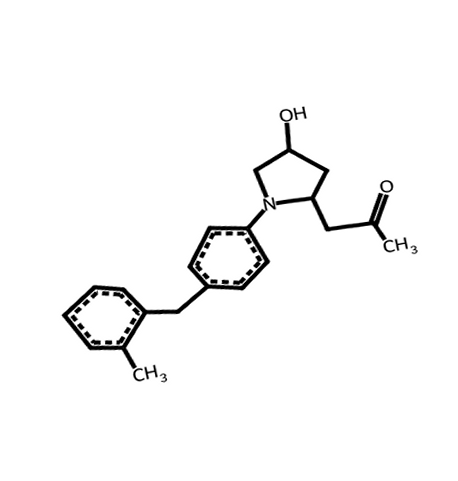 CC(=O)CC1CC(O)CN1c1ccc(Cc2ccccc2C)cc1